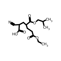 CCOC(=O)CCC(CC(C#N)C(=O)O)C(=O)OCC(C)C